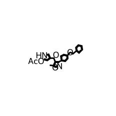 CC(=O)Oc1cc(C(=O)c2c(-c3ccc(OCc4ccccc4)cc3)noc2C)c[nH]1